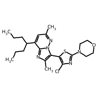 CCCC(CCC)c1cc(C)nn2c(-c3sc(N4CCOCC4)nc3Cl)c(C)nc12